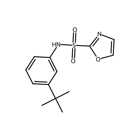 CC(C)(C)c1cccc(NS(=O)(=O)c2ncco2)c1